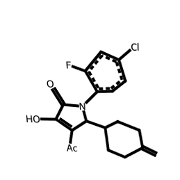 C=C1CCC(C2C(C(C)=O)=C(O)C(=O)N2c2ccc(Cl)cc2F)CC1